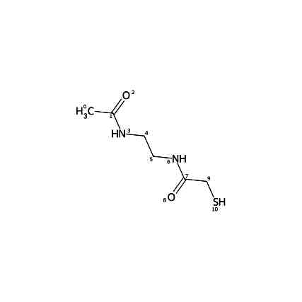 CC(=O)NCCNC(=O)CS